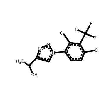 CC(O)c1cn(-c2ccc(Cl)c(C(F)(F)F)c2Cl)nn1